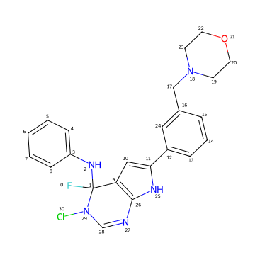 FC1(Nc2ccccc2)c2cc(-c3cccc(CN4CCOCC4)c3)[nH]c2N=CN1Cl